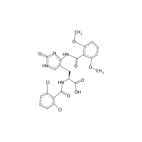 COc1cccc(OC)c1C(=O)Nc1nc(=O)[nH]cc1C[C@H](NC(=O)c1c(Cl)cccc1Cl)C(=O)O